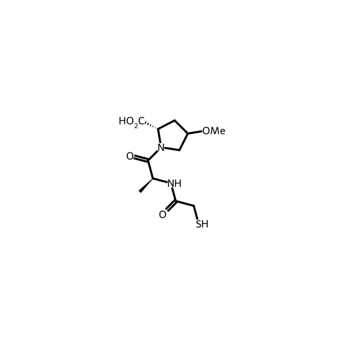 COC1C[C@@H](C(=O)O)N(C(=O)[C@H](C)NC(=O)CS)C1